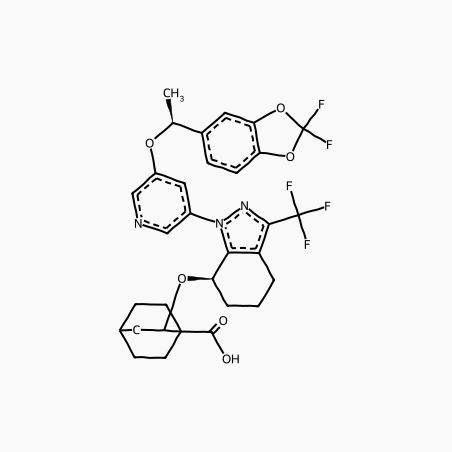 C[C@H](Oc1cncc(-n2nc(C(F)(F)F)c3c2[C@H](OC2CC4CCC2(C(=O)O)CC4)CCC3)c1)c1ccc2c(c1)OC(F)(F)O2